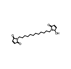 O=C1C=CC(=O)N1CCCCCCCCCCCCN1C(=O)C=CC1O